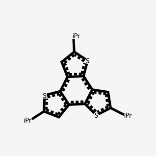 CC(C)c1cc2c(s1)c1cc(C(C)C)sc1c1cc(C(C)C)sc21